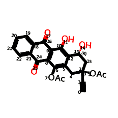 C#C[C@]1(OC(C)=O)Cc2c(OC(C)=O)c3c(c(O)c2[C@H](O)C1)C(=O)c1ccccc1C3=O